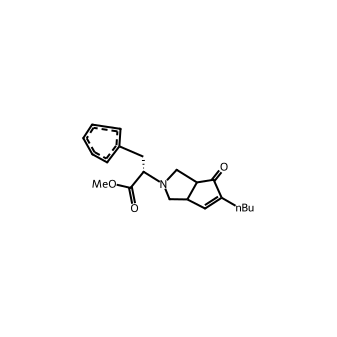 CCCCC1=CC2CN([C@@H](Cc3ccccc3)C(=O)OC)CC2C1=O